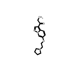 CCC(=O)c1cnn2cc(OCCN3CCCC3)ccc12